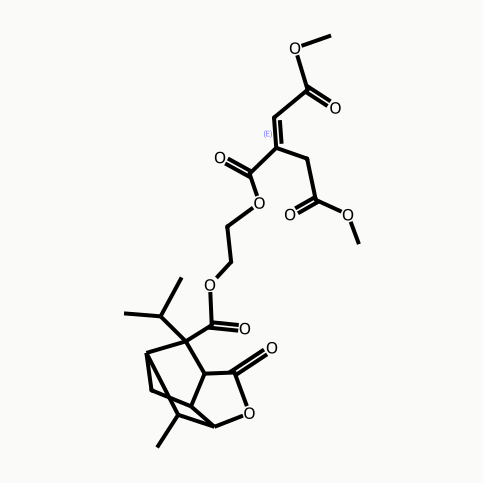 COC(=O)/C=C(\CC(=O)OC)C(=O)OCCOC(=O)C1(C(C)C)C2CC3C(OC(=O)C31)C2C